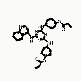 C=CC(=O)Oc1ccc(Nc2nc(Nc3ccc(OC(=O)C=C)cc3)nc(Nc3ccnc4ccccc34)n2)cc1